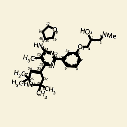 CNCC(O)COc1cccc(-c2nc(N[C@@H]3CCOC3)c(C)c(C3=CC(C)(C)NC(C)(C)C3)n2)c1